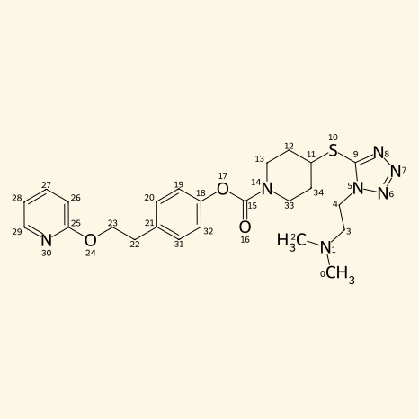 CN(C)CCn1nnnc1SC1CCN(C(=O)Oc2ccc(CCOc3ccccn3)cc2)CC1